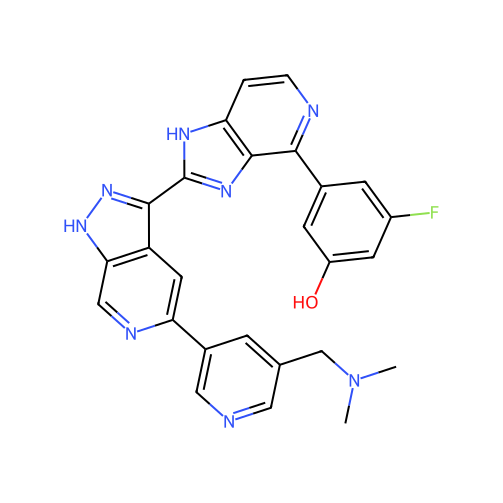 CN(C)Cc1cncc(-c2cc3c(-c4nc5c(-c6cc(O)cc(F)c6)nccc5[nH]4)n[nH]c3cn2)c1